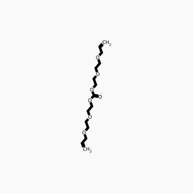 C=CCOCCOCCOC(=O)OCCOCCOCC=C